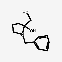 OCC1(O)CCCN1Cc1ccccc1